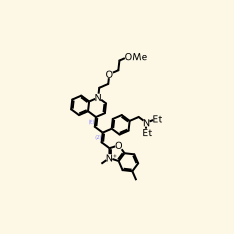 CCN(CC)Cc1ccc(C(=C\c2oc3ccc(C)cc3[n+]2C)/C=C2\C=CN(CCOCCOC)c3ccccc32)cc1